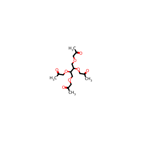 CC(=O)COCC(OCC(C)=O)C(COCC(C)=O)OCC(C)=O